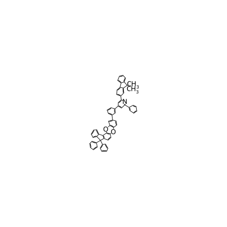 CC1(C)c2ccccc2-c2ccc(-c3cc(-c4cccc(-c5ccc6c(c5)Oc5c(ccc7c5-c5ccccc5C7(c5ccccc5)c5ccccc5)O6)c4)cc(-c4ccccc4)n3)cc21